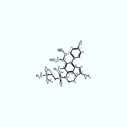 Cc1c([C@H](OC(C)(C)C)C(=O)O)c(-c2ccc(Cl)cc2)c2cc(C)n3c2c1N(S(=O)(=O)CCS(C)(C)C)CC3